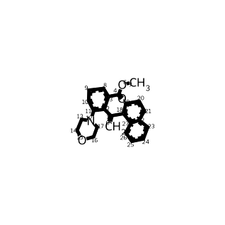 C=C(c1c(C(=O)OC)cccc1N1CCOCC1)c1cccc2ccccc12